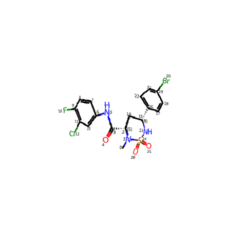 CN1[C@H](C(=O)Nc2ccc(F)c(Cl)c2)C[C@H](c2ccc(Br)cc2)NS1(=O)=O